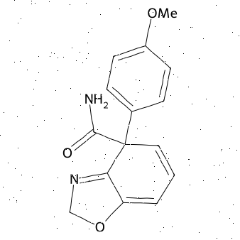 COc1ccc(C2(C(N)=O)C=CC=C3OCN=C32)cc1